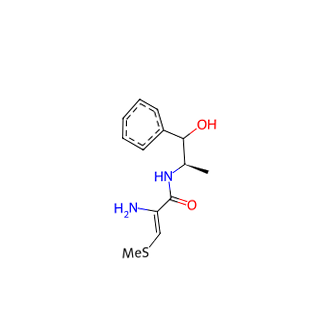 CS/C=C(\N)C(=O)N[C@H](C)C(O)c1ccccc1